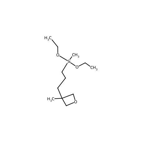 CCO[Si](C)(CCCC1(C)COC1)OCC